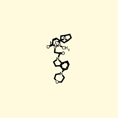 CC1CC2CCC(C1)N2C1C=CC(=O)N(CC(=O)N2CCc3c(N4CCOCC4)cccc32)N1C